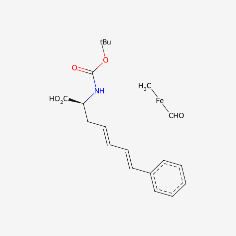 CC(C)(C)OC(=O)N[C@@H](CC=CC=Cc1ccccc1)C(=O)O.[CH3][Fe][CH]=O